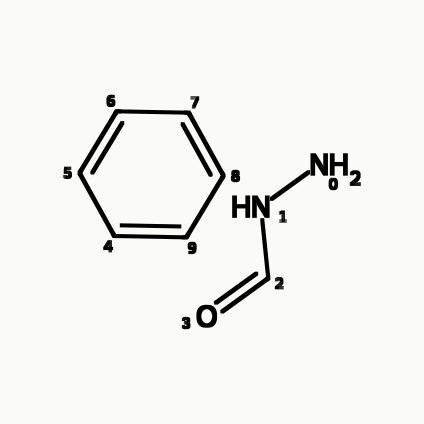 NNC=O.c1ccccc1